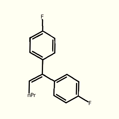 [CH2]CCC=C(c1ccc(F)cc1)c1ccc(F)cc1